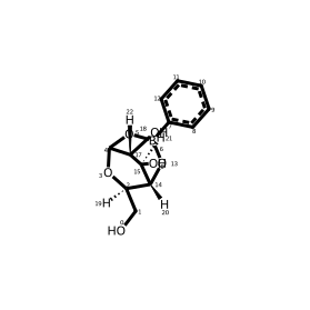 OC[C@H]1OC2OB(c3ccccc3)O[C@H]1[C@H](O)[C@H]2O